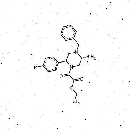 C[C@@H]1CN(C(=O)C(=O)OCC(F)(F)F)[C@@H](c2ccc(F)cc2)CN1Cc1ccccc1